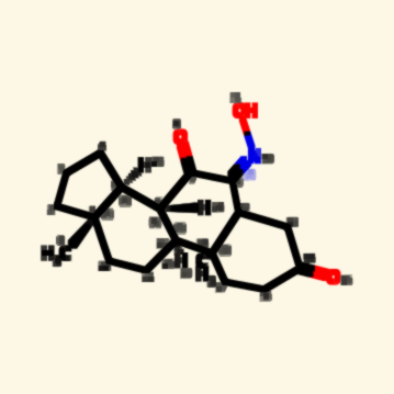 C[C@@]12CCC[C@H]1[C@@H]1C(=O)/C(=N\O)C3CC(=O)CC[C@]3(C)[C@H]1CC2